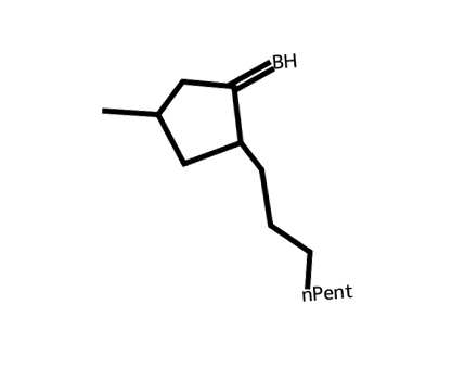 B=C1CC(C)CC1CCCCCCCC